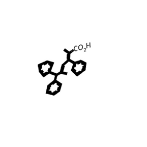 C/C(C(=O)O)=C(\C=C(/C)C(c1ccccc1)c1ccccc1)c1ccccc1